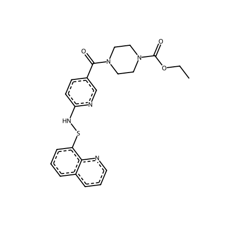 CCOC(=O)N1CCN(C(=O)c2ccc(NSc3cccc4cccnc34)nc2)CC1